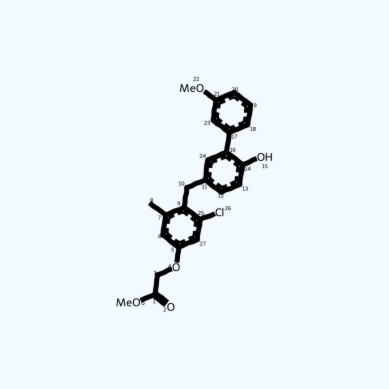 COC(=O)COc1cc(C)c(Cc2ccc(O)c(-c3cccc(OC)c3)c2)c(Cl)c1